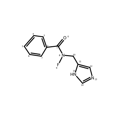 O=C(c1ccccc1)N(F)Cc1cnc[nH]1